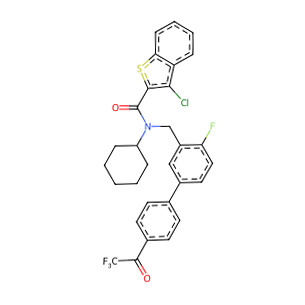 O=C(c1sc2ccccc2c1Cl)N(Cc1cc(-c2ccc(C(=O)C(F)(F)F)cc2)ccc1F)C1CCCCC1